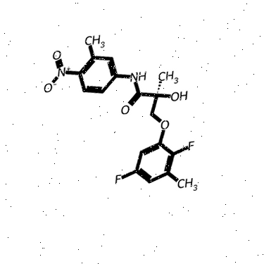 Cc1cc(NC(=O)[C@@](C)(O)COc2cc(F)cc(C)c2F)ccc1[N+](=O)[O-]